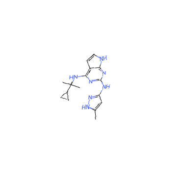 Cc1cc(Nc2nc(NC(C)(C)C3CC3)c3cc[nH]c3n2)n[nH]1